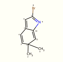 CC1(C)C=CC2=CC(Br)=NC2=C1